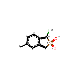 Cc1ccc2c(c1)=CS(=O)(=O)C=2F